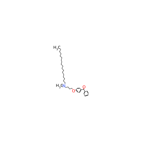 CCCCCCCCCCCCCCCCCCN(C)CCCCOc1ccc(C(=O)c2ccccc2)cc1